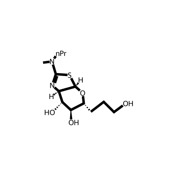 CCCN(C)C1=N[C@@H]2[C@@H](O)[C@H](O)[C@@H](CCCO)O[C@@H]2S1